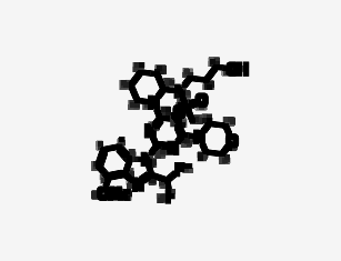 COc1cccc2c1nc(C(F)F)n2-c1nc(N2CCOCC2)nc(N2CCCCC2N(CCCO)S(C)(=O)=O)n1